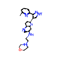 Cc1cccc(-c2n[nH]cc2-c2ccc3ncc(NCCN4CCOCC4)cc3n2)n1